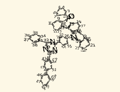 O=P1(c2ccccc2)c2ccccc2-c2c1ccc1c3ccccc3n(-c3ccc(-c4nc(-c5ccccc5)nc(-c5ccc(-c6ccccc6)cc5)n4)cc3)c21